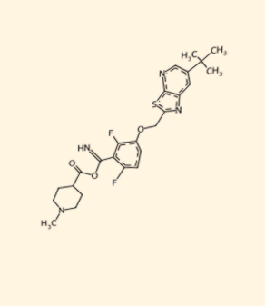 CN1CCC(C(=O)OC(=N)c2c(F)ccc(OCc3nc4cc(C(C)(C)C)cnc4s3)c2F)CC1